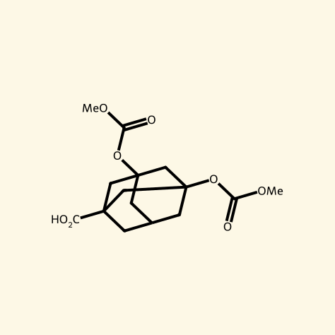 COC(=O)OC12CC3CC(OC(=O)OC)(C1)CC(C(=O)O)(C3)C2